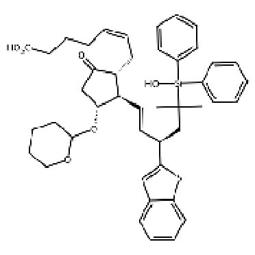 CC(C)(C[C@H](/C=C/[C@H]1[C@H](OC2CCCCO2)CC(=O)[C@@H]1C/C=C\CCCC(=O)O)c1cc2ccccc2s1)[Si](O)(c1ccccc1)c1ccccc1